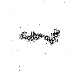 CN1CCC[C@@H]1c1cc2cnc(NC(=O)c3ccc(OCCC4CCN(c5cccc6c5CN(C5CCC(=O)NC5=O)C6=O)CC4)cc3Cl)cc2[nH]1